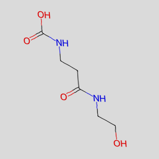 O=C(O)NCCC(=O)NCCO